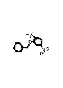 Cc1ccc([N+](=O)[O-])cc1OCc1ccccc1